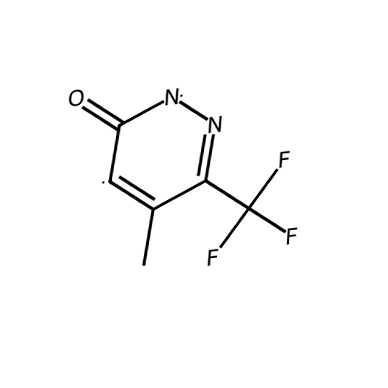 CC1=[C]C(=O)[N]N=C1C(F)(F)F